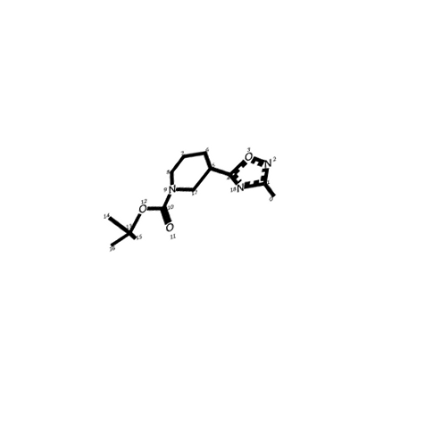 Cc1noc(C2CCCN(C(=O)OC(C)(C)C)C2)n1